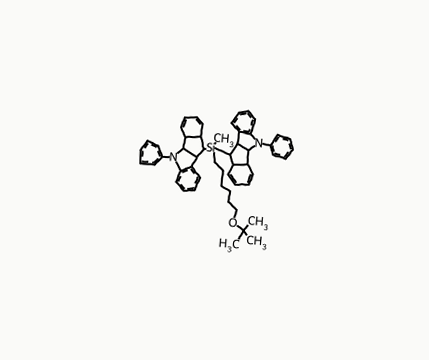 CC(C)(C)OCCCCCC[Si](C)(C1C2C=CC=CC2C2C1c1ccccc1N2c1ccccc1)C1C2C=CC=CC2C2C1c1ccccc1N2c1ccccc1